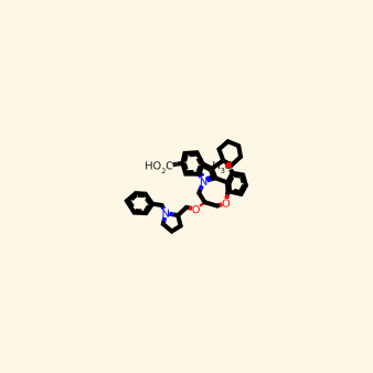 Cc1cccc2c1-c1c(C3CCCCC3)c3ccc(C(=O)O)cc3n1C[C@H](OCC1CCCN1Cc1ccccc1)CO2